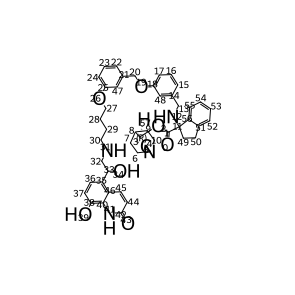 O=C(O[C@H]1CN2CCC1CC2)C1(NCc2cccc(OCc3cccc(OCCCCNCC(O)c4ccc(O)c5[nH]c(=O)ccc45)c3)c2)CCc2ccccc21